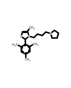 CC1=CSC(c2c(C)cc(C)cc2C)N1CCCCN1CCCC1